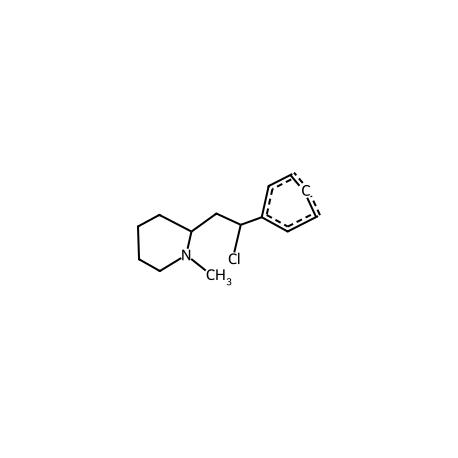 CN1CCCCC1CC(Cl)c1ccccc1